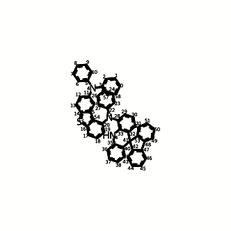 c1ccc(N(c2ccccc2)c2ccc3sc4cccc(N(c5ccccc5)c5cccc6c5Nc5ccccc5C65c6ccccc6-c6ccccc65)c4c3c2)cc1